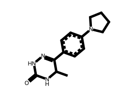 CC1NC(=O)NN=C1c1ccc(N2CCCC2)cc1